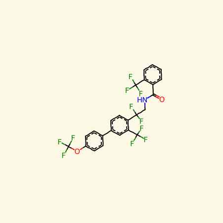 O=C(NCC(F)(F)c1ccc(-c2ccc(OC(F)(F)F)cc2)cc1C(F)(F)F)c1ccccc1C(F)(F)F